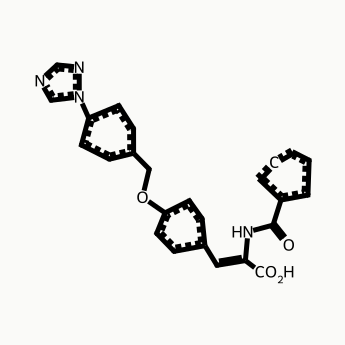 O=C(O)/C(=C/c1ccc(OCc2ccc(-n3cncn3)cc2)cc1)NC(=O)c1ccccc1